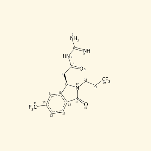 N=C(N)NC(=O)C[C@@H]1c2cc(C(F)(F)F)ccc2C(=O)N1CCC(F)(F)F